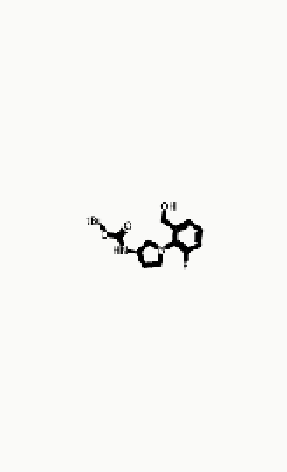 CC(C)(C)OC(=O)N[C@@H]1CCN(c2c(F)cccc2CO)C1